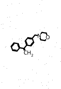 C=C(c1ccccc1)c1ccc(CN2CCOCC2)cc1